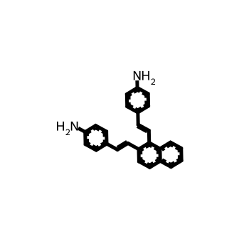 Nc1ccc(/C=C/c2ccc3ccccc3c2/C=C/c2ccc(N)cc2)cc1